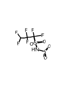 O=[SH](=O)NS(=O)(=O)C(F)(F)C(F)(F)C(F)F